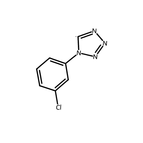 Clc1cccc(-n2[c]nnn2)c1